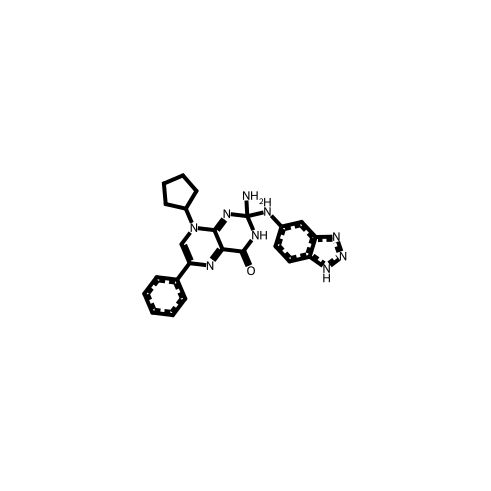 NC1(Nc2ccc3[nH]nnc3c2)N=C2C(=NC(c3ccccc3)=CN2C2CCCC2)C(=O)N1